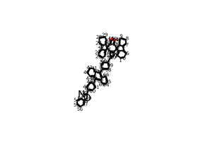 c1ccc2c(c1)-c1ccccc1C21c2ccccc2C2(c3ccccc3-c3ccccc32)c2cc(-c3ccc(-c4c5ccccc5c(-c5ccc(-c6nc7ccccc7o6)cc5)c5ccccc45)cc3)ccc21